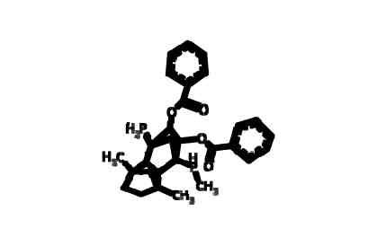 CPC12CC(P)(C(OC(=O)c3ccccc3)C1OC(=O)c1ccccc1)C1C2C2(C)CCC1(C)C2